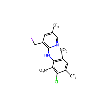 O=[N+]([O-])c1cc(C(F)(F)F)c(Cl)c([N+](=O)[O-])c1Nc1ncc(C(F)(F)F)cc1CI